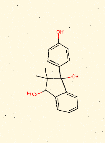 CC1(C)C(O)c2ccccc2C1(O)c1ccc(O)cc1